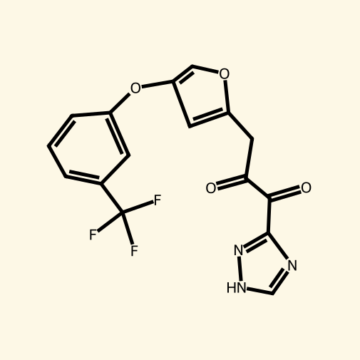 O=C(Cc1cc(Oc2cccc(C(F)(F)F)c2)co1)C(=O)c1nc[nH]n1